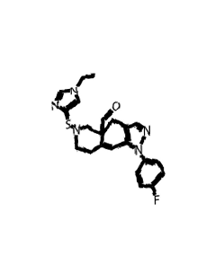 CCn1cnc(SN2CCC3=Cc4c(cnn4-c4ccc(F)cc4)CC3(C=O)C2)c1